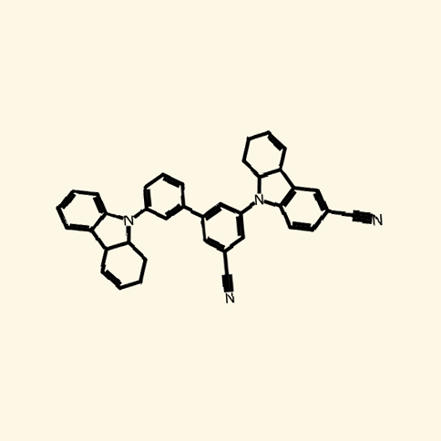 N#Cc1cc(-c2cccc(N3c4ccccc4C4C=CCCC43)c2)cc(N2c3ccc(C#N)cc3C3C=CCCC32)c1